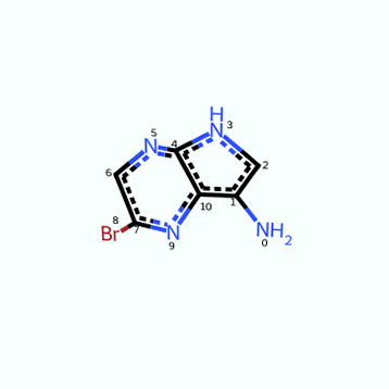 Nc1c[nH]c2ncc(Br)nc12